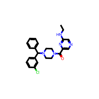 CCNc1cncc(C(=O)N2CCN(C(c3ccccc3)c3cccc(Cl)c3)CC2)n1